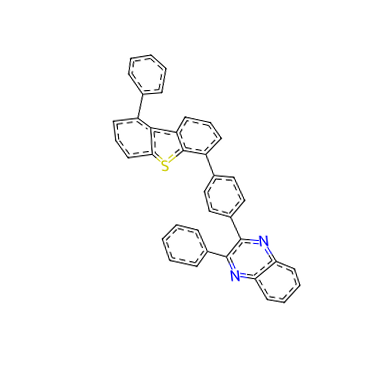 c1ccc(-c2nc3ccccc3nc2-c2ccc(-c3cccc4c3sc3cccc(-c5ccccc5)c34)cc2)cc1